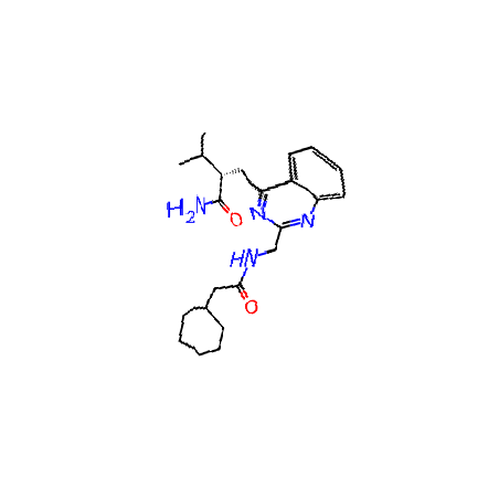 CC(C)[C@H](Cc1nc(CNC(=O)CC2CCCCC2)nc2ccccc12)C(N)=O